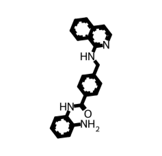 Nc1ccccc1NC(=O)c1ccc(CNc2nccc3ccccc23)cc1